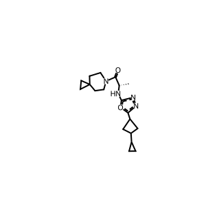 C[C@H](Nc1nnc(C2CC(C3CC3)C2)o1)C(=O)N1CCC2(CC1)CC2